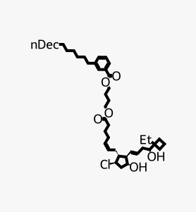 CCCCCCCCCCCCCCCCc1cccc(C(=O)OCCCCOC(=O)CCC/C=C\C[C@@H]2[C@@H](/C=C/C[C@H](O)C3(CC)CCC3)[C@H](O)C[C@H]2Cl)c1